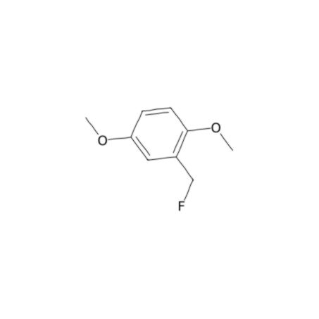 COc1ccc(OC)c(CF)c1